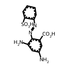 Nc1cc(N)c(N=Nc2ccccc2S(=O)(=O)O)c(C(=O)O)c1